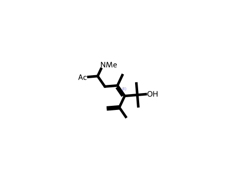 C=C(C)/C(=C(/C)CC(NC)C(C)=O)C(C)(C)O